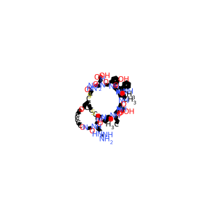 CCCC[C@@H]1NC(=O)[C@@H]2CCCN2C(=O)[C@@H]2CSCc3cc(cc(c3)OCCCCCCO/N=C/C(=O)N[C@@H](CCCNC(=N)N)C(=O)N2)CSC[C@@H](C(N)=O)NC(=O)[C@H](CCC(=O)O)NC(=O)[C@H](Cc2ccc(O)cc2)NC(=O)[C@H](Cc2c[nH]c3ccccc23)NC(=O)[C@H](C(C)C)NC(=O)[C@H](CC(=O)O)NC1=O